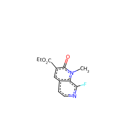 CCOC(=O)c1cc2ccnc(F)c2n(C)c1=O